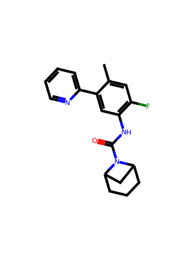 Cc1cc(F)c(NC(=O)N2C3CCCC2C3)cc1-c1ccccn1